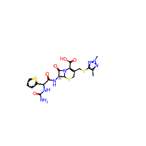 Cc1nn(C)nc1SCC1=C(C(=O)O)N2C(=O)[C@H](NC(=O)C(NC(N)=O)c3cccs3)C2SC1